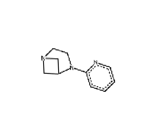 c1ccc(N2CCN3CC2C3)nc1